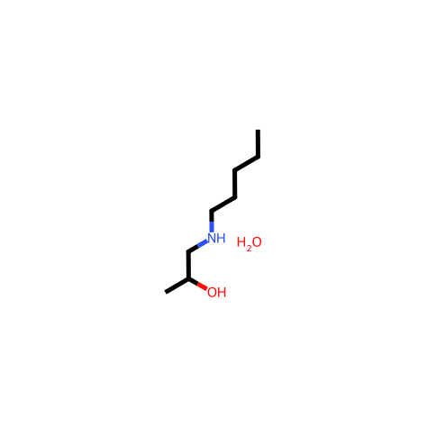 CCCCCNCC(C)O.O